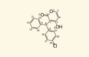 O=c1occc(O)c1C(c1ccccc1)c1ccc(Cl)cc1